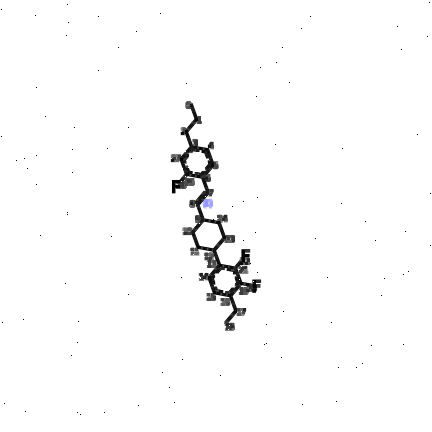 CCCc1ccc(/C=C/C2CCC(c3ccc(CC)c(F)c3F)CC2)c(F)c1